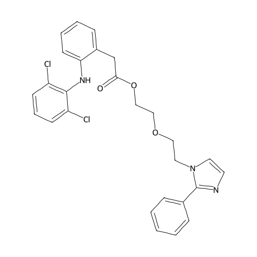 O=C(Cc1ccccc1Nc1c(Cl)cccc1Cl)OCCOCCn1ccnc1-c1ccccc1